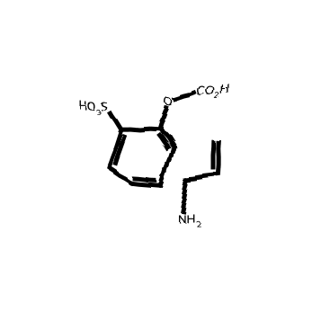 C=CCN.O=C(O)Oc1ccccc1S(=O)(=O)O